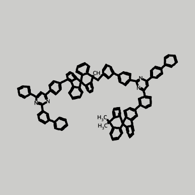 CC1(C)c2ccccc2C2(c3ccccc3-c3cc(-c4cccc(-c5cc(-c6ccc(-c7ccccc7)cc6)nc(-c6ccc(-c7cccc(CC8(C)c9ccccc9C9(c%10ccccc%10-c%10c(-c%11ccc(-c%12cc(-c%13ccccc%13)nc(-c%13cccc(-c%14ccccc%14)c%13)n%12)cc%11)cccc%109)c9ccccc98)c7)cc6)n5)c4)ccc32)c2ccccc21